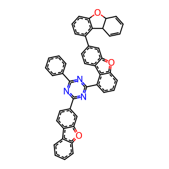 C1=CC2Oc3cccc(-c4ccc5c(c4)oc4cccc(-c6nc(-c7ccccc7)nc(-c7ccc8c(c7)oc7ccccc78)n6)c45)c3C2C=C1